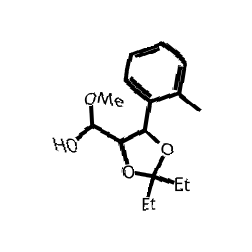 CCC1(CC)OC(c2ccccc2C)C(C(O)OC)O1